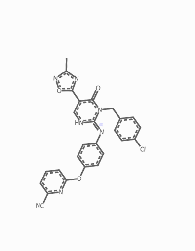 Cc1noc(-c2c[nH]/c(=N\c3ccc(Oc4cccc(C#N)n4)cc3)n(Cc3ccc(Cl)cc3)c2=O)n1